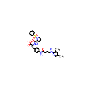 Cc1cnc(NCCCC(=O)Nc2ccc(C[C@H](NC(=O)[C@@H]3CCCN3S(=O)(=O)c3ccccc3)C(=O)O)cc2)c(C)c1